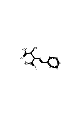 O=C(O)C(O)C(C=Cc1ccccc1)C(=O)O